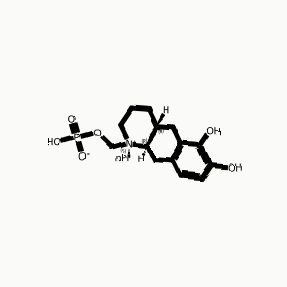 CCC[N@+]1(COP(=O)([O-])O)CCC[C@@H]2Cc3c(ccc(O)c3O)C[C@H]21